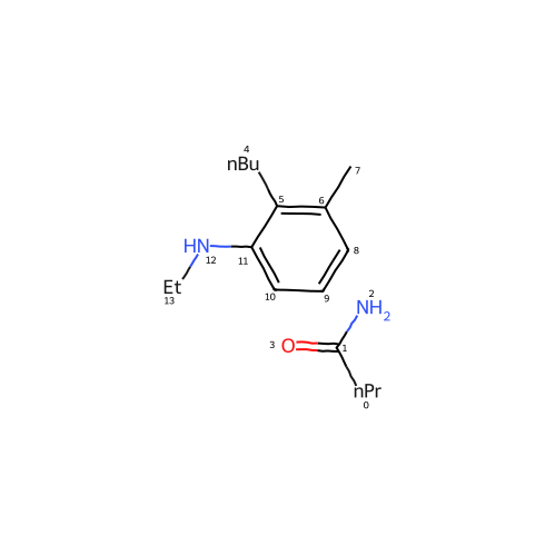 CCCC(N)=O.CCCCc1c(C)cccc1NCC